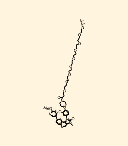 COc1ccc(-c2ccc3ncc4c(c3c2)n(-c2ccc(N3CCN(C(=O)CCOCCOCCOCCOCCOCCOCCOCCOCCN=[N+]=[N-])CC3)c(C(F)(F)F)c2)c(=O)n4C)cn1